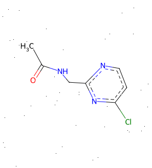 CC(=O)NCc1nccc(Cl)n1